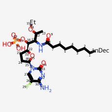 CCCCCCCCCCCCCCCCCC(=O)NC(C(C)OCC)C(OP(=O)(O)O)[C@@H]1CC[C@H](n2cc(F)c(N)nc2=O)O1